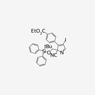 CCOC(=O)c1ccc(C2=C(I)C=NC2(C#N)CO[Si](c2ccccc2)(c2ccccc2)C(C)(C)C)cc1